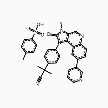 Cc1ccc(S(=O)(=O)O)cc1.Cn1c(=O)n(-c2ccc(C(C)(C)C#N)cc2)c2c3cc(-c4cccnc4)ccc3ncc21